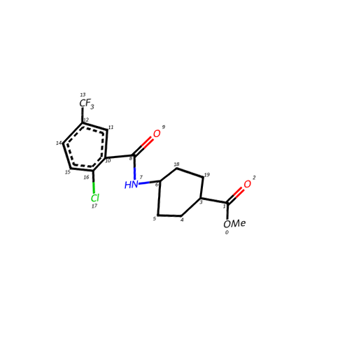 COC(=O)C1CCC(NC(=O)c2cc(C(F)(F)F)ccc2Cl)CC1